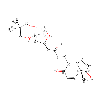 CO[C@@H](CC(=O)CCC1=C2C=CC(=O)[C@]2(C)C=CC1=O)CC1(C)OCC(C)(C)CO1